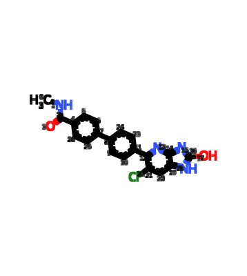 CNC(=O)c1ccc(-c2ccc(-c3nc4nc(O)[nH]c4cc3Cl)cc2)cc1